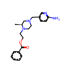 C[C@H]1CN(Cc2ccc(N)nc2)CCN1CCOC(=O)c1ccccc1